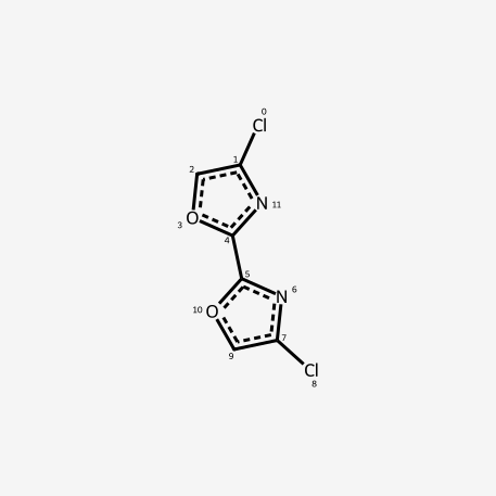 Clc1coc(-c2nc(Cl)co2)n1